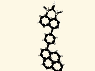 CN1C(=O)N(C)c2ccc(-c3ccc(-c4ccc5ccc6cccc7ccc4c5c67)cc3)c3cccc1c23